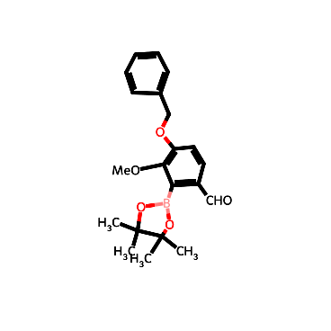 COc1c(OCc2ccccc2)ccc(C=O)c1B1OC(C)(C)C(C)(C)O1